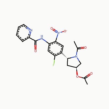 CC(=O)O[C@H]1C[C@H](c2cc([N+](=O)[O-])c(NC(=O)c3ccccn3)cc2F)N(C(C)=O)C1